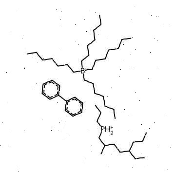 CCCCCCC[B-](CCCCCCC)(CCCCCCC)CCCCCCC.CCC[PH2+]CC(C)CCC(CC)CCC.c1ccc(-c2ccccc2)cc1